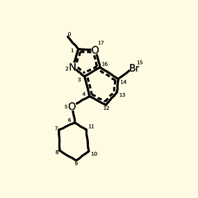 Cc1nc2c(OC3CCCCC3)ccc(Br)c2o1